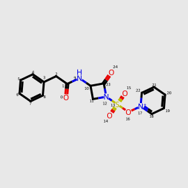 O=C(Cc1ccccc1)NC1CN(S(=O)(=O)O[n+]2ccccc2)C1=O